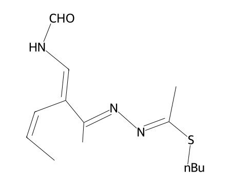 C\C=C/C(=C\NC=O)C(/C)=N/N=C(\C)SCCCC